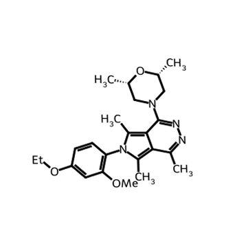 CCOc1ccc(-n2c(C)c3c(C)nnc(N4C[C@@H](C)O[C@@H](C)C4)c3c2C)c(OC)c1